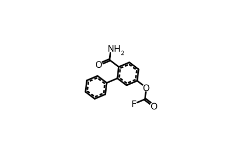 NC(=O)c1ccc(OC(=O)F)cc1-c1ccccc1